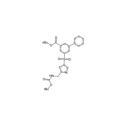 CCCCOC(=O)c1cc(-c2ccccc2)cc(S(=O)(=O)c2cnc(CNC(=O)OC(C)(C)C)s2)c1